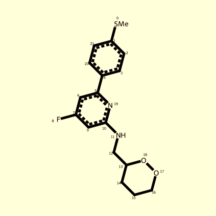 CSc1ccc(-c2cc(F)cc(NCC3CCCOO3)n2)cc1